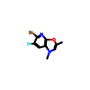 CC1=CN(C)c2cc(F)c(Br)nc2O1